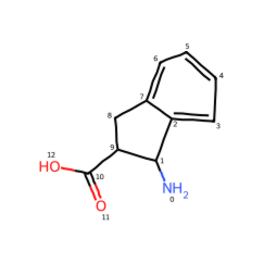 NC1c2ccccc2CC1C(=O)O